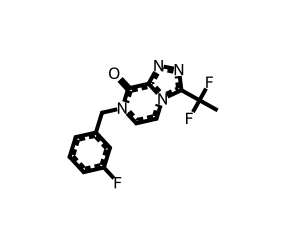 CC(F)(F)c1nnc2c(=O)n(Cc3cccc(F)c3)ccn12